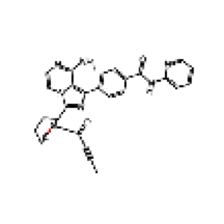 CC#CC(=O)N1CC2CCC1(c1nc(-c3ccc(C(=O)Nc4ccccn4)cc3)c3c(N)nccn13)CC2